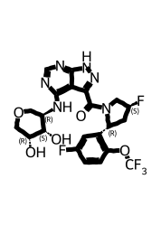 O=C(c1n[nH]c2ncnc(N[C@@H]3COC[C@@H](O)[C@H]3O)c12)N1C[C@@H](F)C[C@@H]1c1cc(F)ccc1OC(F)(F)F